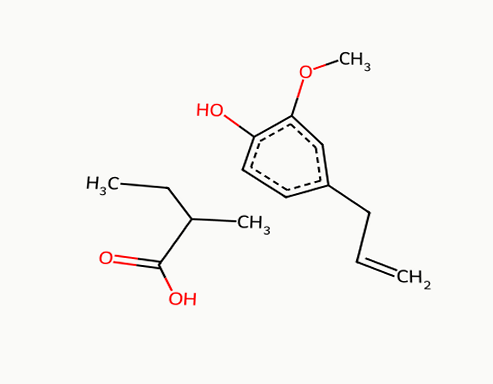 C=CCc1ccc(O)c(OC)c1.CCC(C)C(=O)O